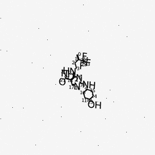 C=C(CCNc1nc(N[C@H]2CC[C@H](O)CC2)ncc1C(N)=O)C(F)(F)F